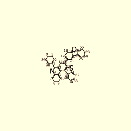 c1ccc(-c2nc3ccccc3c3c2cc(-c2ccc4oc5ccccc5c4c2)c2sc4ccccc4c23)cc1